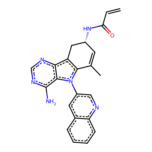 C=CC(=O)N[C@@H]1C=C(C)c2c(c3ncnc(N)c3n2-c2cnc3ccccc3c2)C1